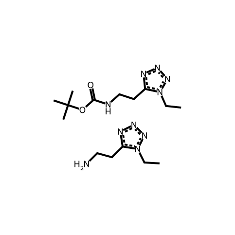 CCn1nnnc1CCN.CCn1nnnc1CCNC(=O)OC(C)(C)C